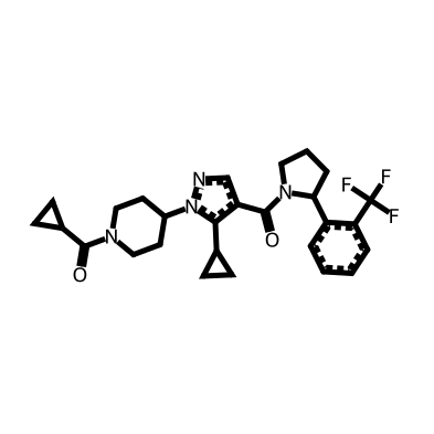 O=C(C1CC1)N1CCC(n2ncc(C(=O)N3CCCC3c3ccccc3C(F)(F)F)c2C2CC2)CC1